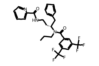 CCCN(C(=O)c1cc(C(F)(F)F)cc(C(F)(F)F)c1)[C@H](CCNC(=O)c1ccccn1)Cc1ccccc1